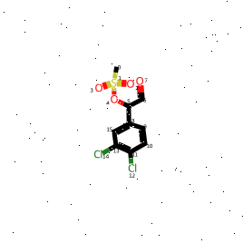 CS(=O)(=O)OC(C=O)c1ccc(Cl)c(Cl)c1